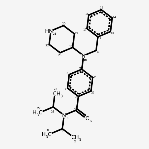 CC(C)N(C(=O)c1ccc(N(Cc2ccccc2)C2CCNCC2)cc1)C(C)C